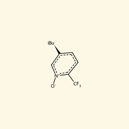 CC[C@H](C)c1ccc(C(F)(F)F)[n+]([O-])c1